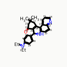 CCN(CC)c1ccc(C2Nc3ccc4ncccc4c3C3=C2C(=O)CC(C)(C)C3)cc1